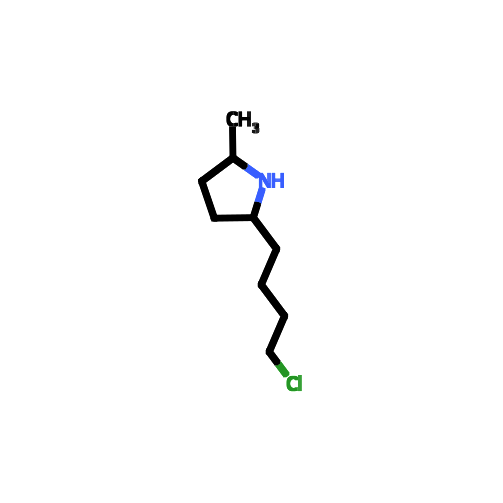 CC1CCC(CCCCCl)N1